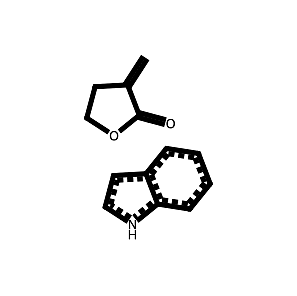 C=C1CCOC1=O.c1ccc2[nH]ccc2c1